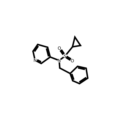 O=S(=O)(C1CC1)N(Cc1ccccc1)c1cccnc1